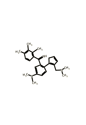 Cc1ccc(C(=N)c2cc(N(C)C)ccc2C2=C(CN(C)C)C=CC2)c(C)c1C